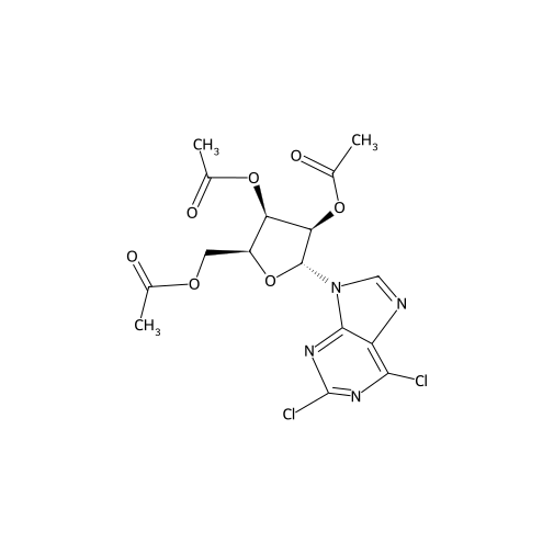 CC(=O)OC[C@@H]1O[C@@H](n2cnc3c(Cl)nc(Cl)nc32)[C@H](OC(C)=O)[C@@H]1OC(C)=O